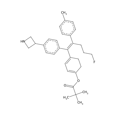 Cc1ccc(/C(CCCF)=C(/C2=CC=C(OC(=O)C(C)(C)C)CC2)c2ccc(C3CNC3)cc2)cc1